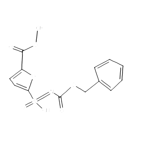 COC(=O)c1ccc(S(C)(=O)=NC(=O)OCc2ccccc2)o1